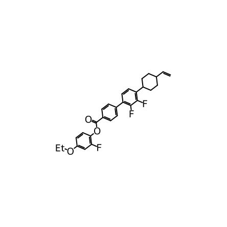 C=CC1CCC(c2ccc(-c3ccc(C(=O)Oc4ccc(OCC)cc4F)cc3)c(F)c2F)CC1